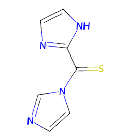 S=C(c1ncc[nH]1)n1ccnc1